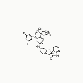 CCC1(CC)C(=O)N(CC(=O)Nc2ccc3c(c2)C[C@@]2(C3)C(=O)Nc3ncccc32)[C@H](c2cc(F)cc(F)c2)C[C@H]1O